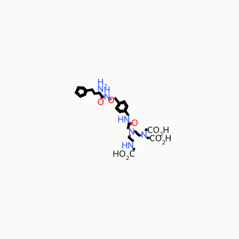 N[C@H](CCc1ccccc1)C(=O)NOCc1ccc(CNC(=O)CN(CCNCC(=O)O)CCN(CC(=O)O)CC(=O)O)cc1